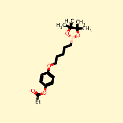 CCC(=O)Oc1ccc(OCCCCCB2OC(C)(C)C(C)(C)O2)cc1